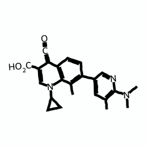 Cc1cc(-c2ccc3c(c2C)N(C2CC2)C=C(C(=O)O)C3=C=O)cnc1N(C)C